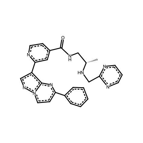 C[C@@H](CNC(=O)c1ccnc(-c2cnn3ccc(-c4ccccc4)nc23)c1)NCc1ncccn1